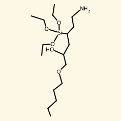 CCCCCOCC(O)CC(CCN)[Si](OCC)(OCC)OCC